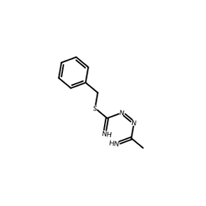 CC(=N)/N=N\C(=N)SCc1ccccc1